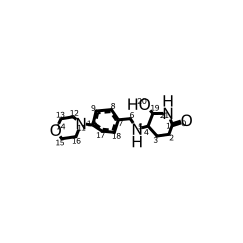 O=C1CCC(NCc2ccc(N3CCOCC3)cc2)C(O)N1